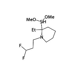 CCC1([SiH](OC)OC)CCCCN1CCC(F)F